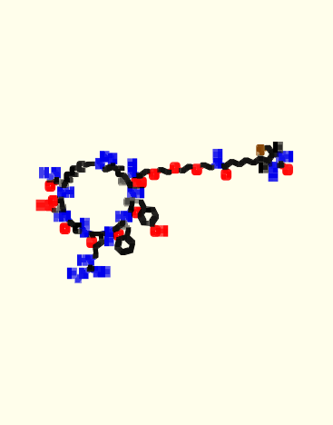 N=C(N)NCCCC1NC(=O)[C@@H](Cc2ccccc2)NC(=O)[C@@H](Cc2ccc(O)cc2)NC(=O)[C@@H](NC(=O)COCCOCCOCCNC(=O)CCCCC2SC[C@H]3NC(=O)N[C@@H]23)Cc2cn(nn2)CCCC[C@@H](C(N)=O)NC(=O)[C@@H](CO)NC(=O)CNC1=O